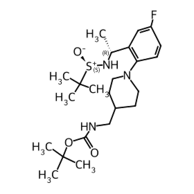 C[C@@H](N[S@+]([O-])C(C)(C)C)c1cc(F)ccc1N1CCC(CNC(=O)OC(C)(C)C)CC1